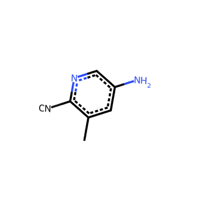 [C-]#[N+]c1ncc(N)cc1C